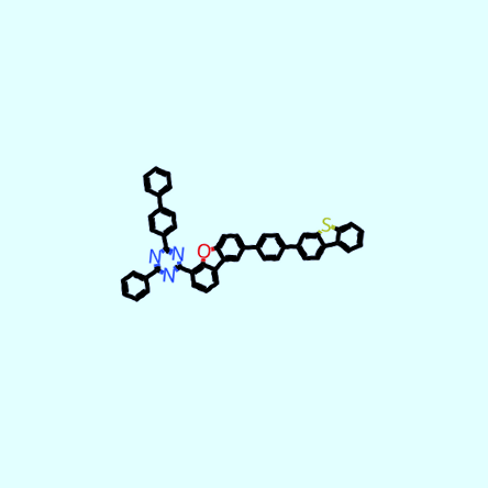 c1ccc(-c2ccc(-c3nc(-c4ccccc4)nc(-c4cccc5c4oc4ccc(-c6ccc(-c7ccc8c(c7)sc7ccccc78)cc6)cc45)n3)cc2)cc1